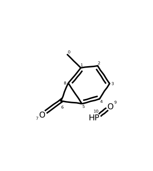 Cc1cccc2c(=O)c12.O=P